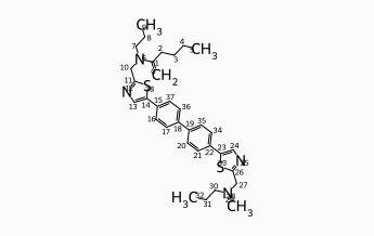 C=C(CCCC)N(CCC)Cc1ncc(-c2ccc(-c3ccc(-c4cnc(CN(C)CCC)s4)cc3)cc2)s1